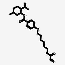 C=CC(=O)OCCCCCCOc1ccc(C(=O)OC2CC(C)CCC2C(C)C)cc1